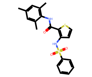 Cc1cc(C)c(NC(=O)c2sccc2NS(=O)(=O)c2ccccc2)c(C)c1